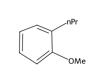 [CH2]Oc1ccccc1CCC